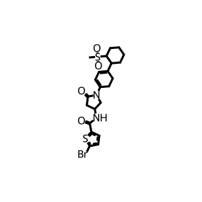 CS(=O)(=O)C1CCCCC1C1=CC=C(N2CC(NC(=O)c3ccc(Br)s3)CC2=O)CC1